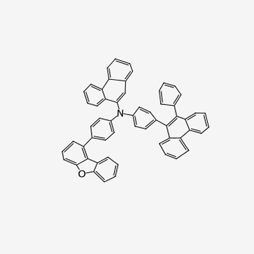 c1ccc(-c2c(-c3ccc(N(c4ccc(-c5cccc6oc7ccccc7c56)cc4)c4cc5ccccc5c5ccccc45)cc3)c3ccccc3c3ccccc23)cc1